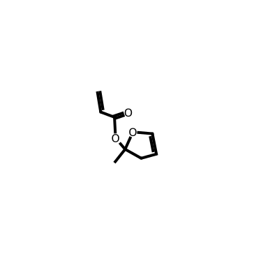 C=CC(=O)OC1(C)CC=CO1